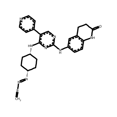 C=BN=N[C@H]1CC[C@@H](Nc2nc(Nc3ccc4c(c3)CCC(=O)N4)ncc2-c2ccncc2)CC1